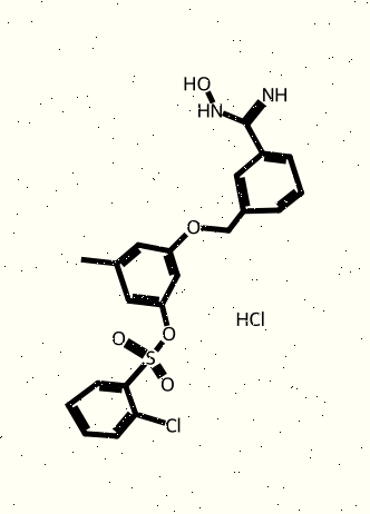 Cc1cc(OCc2cccc(C(=N)NO)c2)cc(OS(=O)(=O)c2ccccc2Cl)c1.Cl